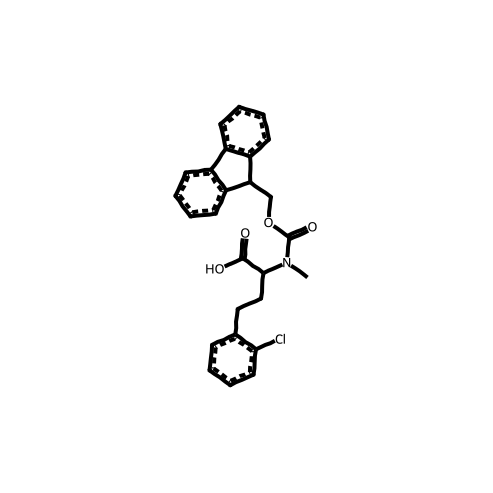 CN(C(=O)OCC1c2ccccc2-c2ccccc21)C(CCc1ccccc1Cl)C(=O)O